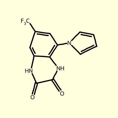 O=c1[nH]c2cc(C(F)(F)F)cc(-n3cccc3)c2[nH]c1=O